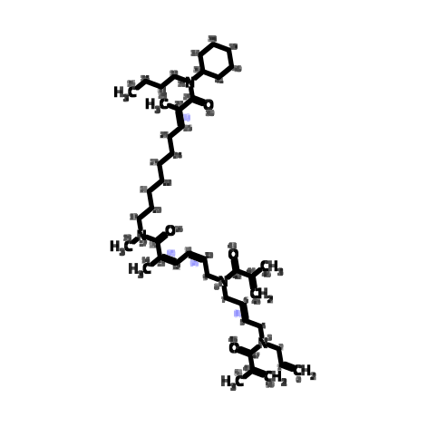 C=CCN(C/C=C/CN(C/C=C\C=C(\C)C(=O)N(C)CCCCCCC/C=C(\C)C(=O)N(CCCC)C1CCCCC1)C(=O)C(=C)C)C(=O)C(=C)C